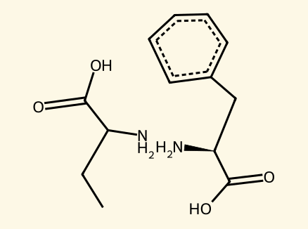 CCC(N)C(=O)O.N[C@@H](Cc1ccccc1)C(=O)O